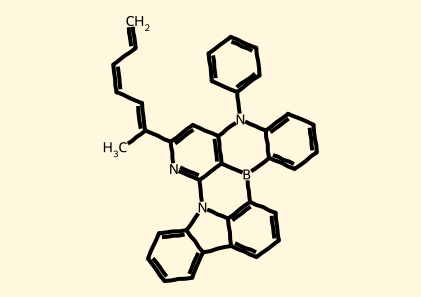 C=C/C=C\C=C(/C)c1cc2c3c(n1)-n1c4ccccc4c4cccc(c41)B3c1ccccc1N2c1ccccc1